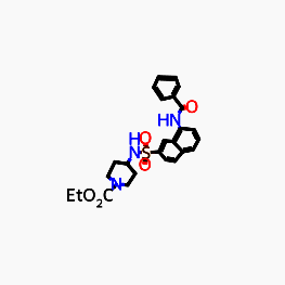 CCOC(=O)N1CCC(NS(=O)(=O)c2ccc3cccc(NC(=O)c4ccccc4)c3c2)CC1